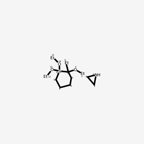 C1CN1.CCOC1(CC)CCCC[Si]1(OCC)OCC